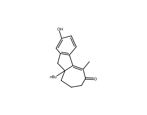 CCCCC12CCCC(=O)C(C)=C1c1ccc(O)cc1C2